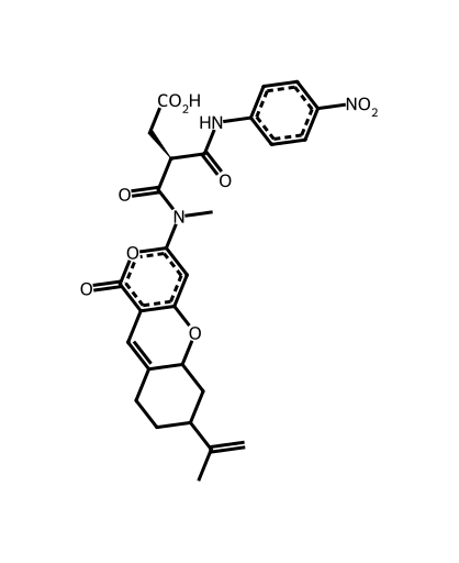 C=C(C)C1CCC2=Cc3c(cc(N(C)C(=O)[C@@H](CC(=O)O)C(=O)Nc4ccc([N+](=O)[O-])cc4)oc3=O)OC2C1